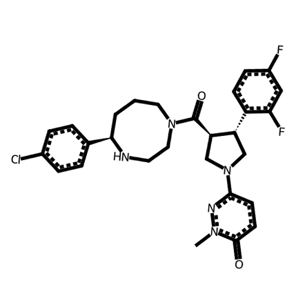 Cn1nc(N2C[C@@H](C(=O)N3CCC[C@H](c4ccc(Cl)cc4)NCC3)[C@H](c3ccc(F)cc3F)C2)ccc1=O